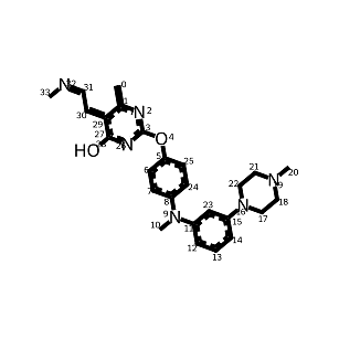 C=c1nc(Oc2ccc(N(C)c3cccc(N4CCN(C)CC4)c3)cc2)nc(O)/c1=C/C=N\C